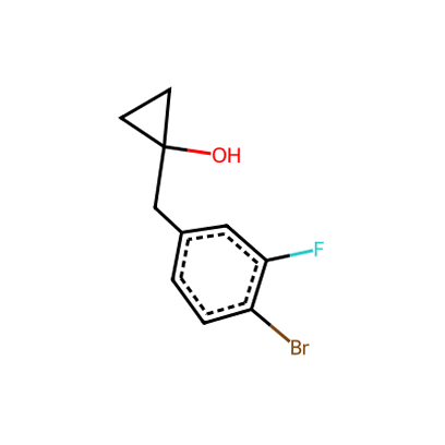 OC1(Cc2ccc(Br)c(F)c2)CC1